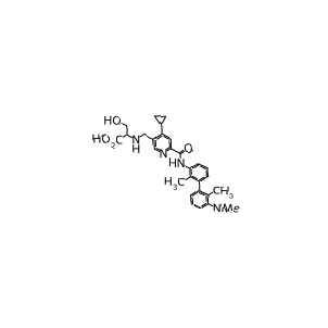 CNc1cccc(-c2cccc(NC(=O)c3cc(C4CC4)c(CNC(CO)C(=O)O)cn3)c2C)c1C